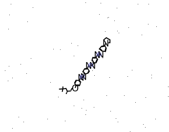 CC(CCOc1ccc(/N=N/c2ccc(/N=N/c3ccc(/N=N/c4ccc(N5CCCC5)cc4)cc3)cc2)cc1)CC(C)(C)C